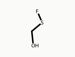 OCSF